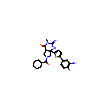 CN1C(=N)NC2(c3ccc(-c4ccc(F)c(N)c4)s3)CN(C(=O)C3CCCCC3)CC2C1=O